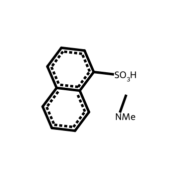 CNC.O=S(=O)(O)c1cccc2ccccc12